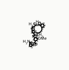 COc1cc(C(=O)N2C[C@H](N)C3CC[C@H]2C3)cc2nc(-c3cc4ccc5nc4n3CCCCCc3ccccc3C(=O)N[C@@H]5C)n(C)c12